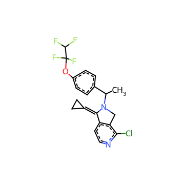 CC(c1ccc(OC(F)(F)C(F)F)cc1)N1Cc2c(ccnc2Cl)C1=C1CC1